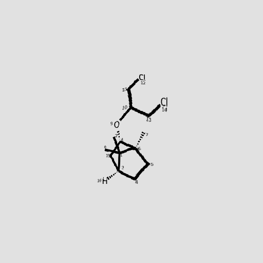 CC1(C)[C@H]2CC[C@]1(C)[C@@H](OC(CCl)CCl)C2